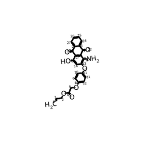 C=CCOC(=O)COc1ccc(Oc2cc(O)c3c(c2N)C(=O)c2ccccc2C3=O)cc1